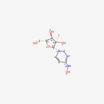 C[C@@]1(O)[C@H](O)[C@@H](CO)O[C@H]1N1C=CC(NO)=NC1